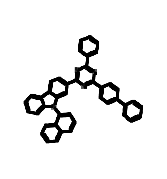 c1ccc(-c2ccc(-c3nc(-c4ccccc4)nc(-c4ccc5c6ccccc6n(-c6cccc7ccccc67)c5c4)n3)cc2)cc1